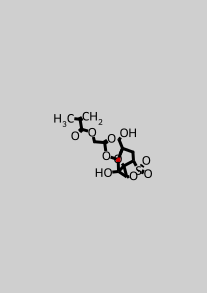 C=C(C)C(=O)OCC(=O)OC1C2(CO)CC3C4(O2)C(OS3(=O)=O)C14O